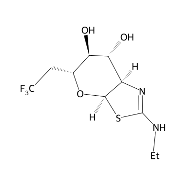 CCNC1=N[C@@H]2[C@@H](O)[C@H](O)[C@@H](CC(F)(F)F)O[C@@H]2S1